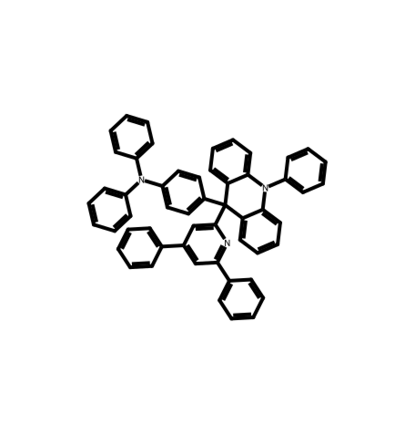 c1ccc(-c2cc(-c3ccccc3)nc(C3(c4ccc(N(c5ccccc5)c5ccccc5)cc4)c4ccccc4N(c4ccccc4)c4ccccc43)c2)cc1